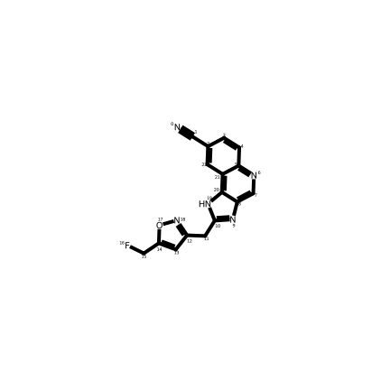 N#Cc1ccc2ncc3nc(Cc4cc(CF)on4)[nH]c3c2c1